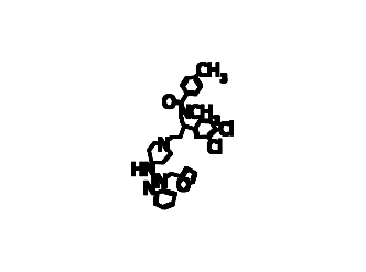 Cc1ccc(C(=O)N(C)CC(CCN2CCC(Nc3nc4ccccc4n3Cc3ccco3)CC2)c2ccc(Cl)c(Cl)c2)cc1